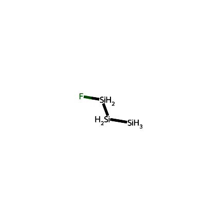 F[SiH2][SiH2][SiH3]